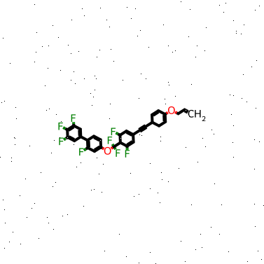 C=CCOC1=CCC(C#CC2=CC(F)C(C(F)(F)Oc3ccc(-c4cc(F)c(F)c(F)c4)c(F)c3)C(F)=C2)C=C1